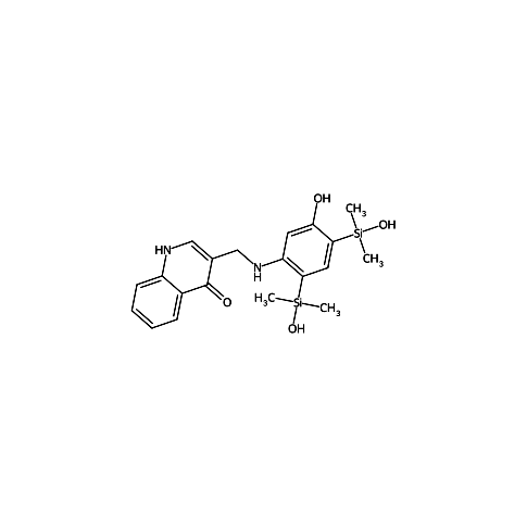 C[Si](C)(O)c1cc([Si](C)(C)O)c(NCc2c[nH]c3ccccc3c2=O)cc1O